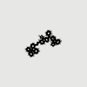 CCC1(CC)c2cc(/C=C/C3=CC=CC4C3c3ccccc3C4(c3ccccc3)c3ccccc3)ccc2-c2ccc(N(c3ccccc3)c3ccc4c(c3)C3(CCCC3)c3ccccc3-4)cc21